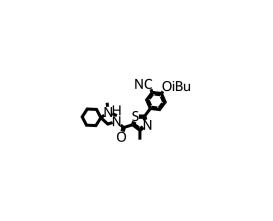 Cc1nc(-c2ccc(OCC(C)C)c(C#N)c2)sc1C(=O)NCC1(N(C)C)CCCCC1